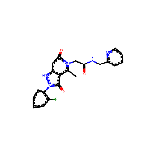 Cc1c2c(=O)n(-c3ccccc3F)[nH]c2cc(=O)n1CC(=O)NCc1ccccn1